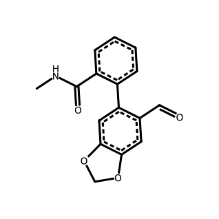 CNC(=O)c1ccccc1-c1cc2c(cc1C=O)OCO2